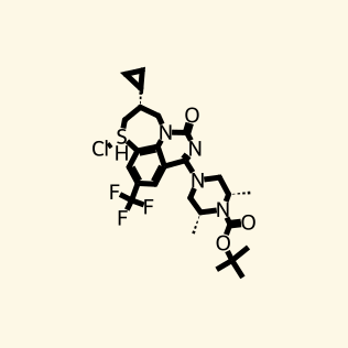 C[C@@H]1CN(c2nc(=O)n3c4c(cc(C(F)(F)F)cc24)[SH](Cl)C[C@H](C2CC2)C3)C[C@H](C)N1C(=O)OC(C)(C)C